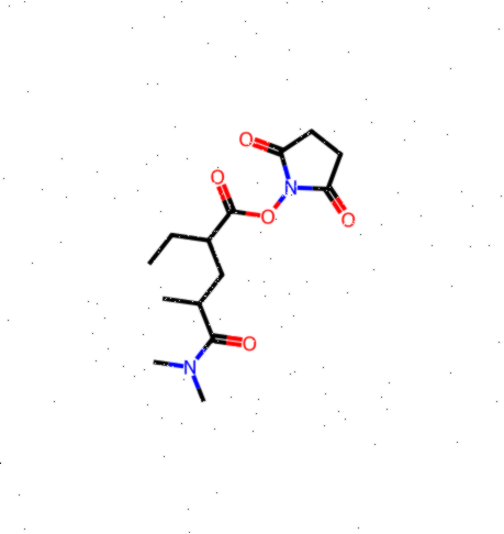 CCC(CC(C)C(=O)N(C)C)C(=O)ON1C(=O)CCC1=O